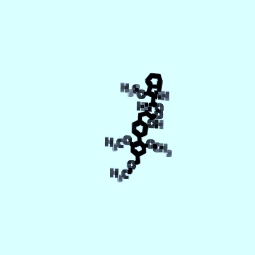 CCOCC1=CC(OC)=C(c2ccc(CC(NC(=O)c3[nH]c4ccccc4c3OC)C(=O)O)cc2)C(OC)C1